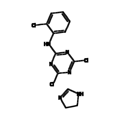 C1=NCCN1.Clc1nc(Cl)nc(Nc2ccccc2Cl)n1